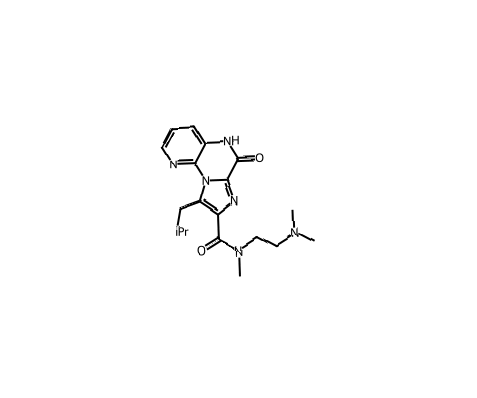 CC(C)Cc1c(C(=O)N(C)CCN(C)C)nc2c(=O)[nH]c3cccnc3n12